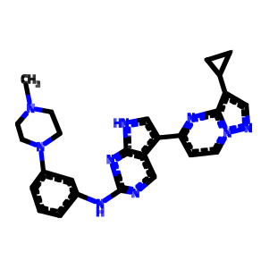 CN1CCN(c2cccc(Nc3ncc4c(-c5ccn6ncc(C7CC7)c6n5)c[nH]c4n3)c2)CC1